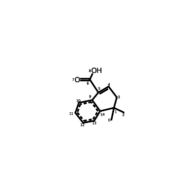 CC1(C)CC=C(C(=O)O)c2ccccc21